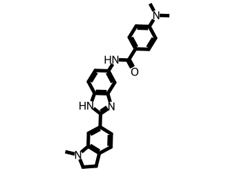 CN(C)c1ccc(C(=O)Nc2ccc3[nH]c(-c4ccc5c(c4)N(C)CC5)nc3c2)cc1